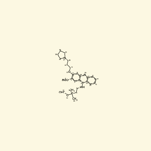 COc1cc2c(NCCC(C)(C)OC=O)c3ccccc3nc2cc1OCCCN1CCCC1